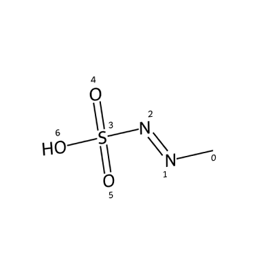 C/N=N/S(=O)(=O)O